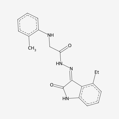 CCc1cccc2c1C(=NNC(=O)CNc1ccccc1C)C(=O)N2